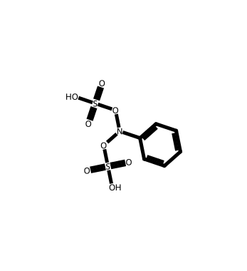 O=S(=O)(O)ON(OS(=O)(=O)O)c1ccccc1